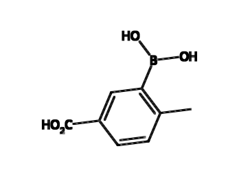 Cc1ccc(C(=O)O)cc1B(O)O